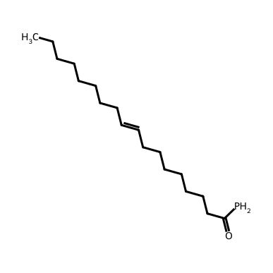 CCCCCCCCC=CCCCCCCCC(=O)P